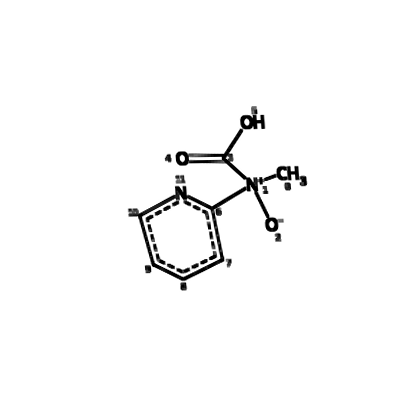 C[N+]([O-])(C(=O)O)c1ccccn1